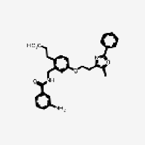 Cc1oc(-c2ccccc2)nc1CCOc1ccc(CCC(=O)O)c(CNC(=O)c2cccc(N)c2)c1